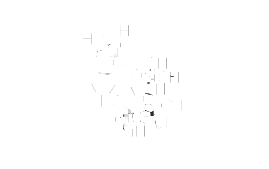 C[Si](C)(C)OC(=C(O[Si](C)(C)C)[Si](C)(C)O[SiH3])c1ccccc1O[Si](C)(C)C